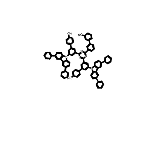 N#Cc1ccc(-c2cc(-c3nc(-c4cccc(-c5cccc(C#N)c5)c4)nc(-c4cc(-c5ccc(C#N)cc5)cc(-n5c6ccc(-c7ccccc7)cc6c6cc(-c7ccccc7)ccc65)c4)n3)cc(-n3c4ccc(-c5ccccc5)cc4c4cc(-c5ccccc5)ccc43)c2)cc1